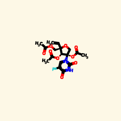 C=C[C@]1(COC(C)=O)OC[C@@](OC(C)=O)(n2cc(F)c(=O)[nH]c2=O)[C@@H]1OC(C)=O